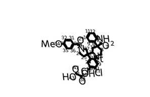 CCN1CCC(C(N)=O)(c2ccccc2)CC1C1(c2ccc(Cl)c(Cl)c2)CCN(C(=O)c2ccc(OC)cc2)C1.O=C(O)C(=O)O